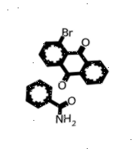 NC(=O)c1ccccc1.O=C1c2ccccc2C(=O)c2c(Br)cccc21